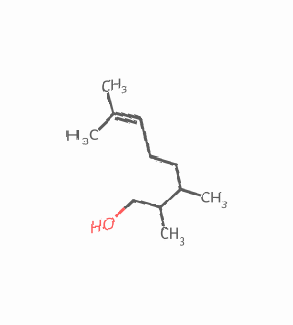 CC(C)=CCCC(C)C(C)CO